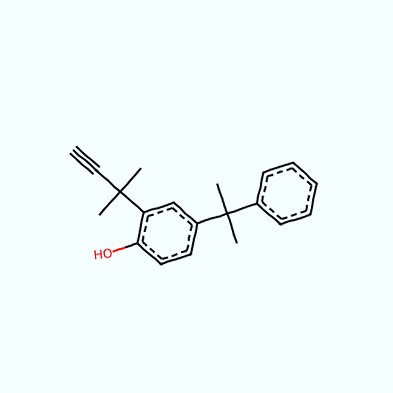 C#CC(C)(C)c1cc(C(C)(C)c2ccccc2)ccc1O